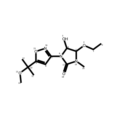 CCOC1C(O)N(c2cc(C(C)(C)OC)on2)C(=O)N1C